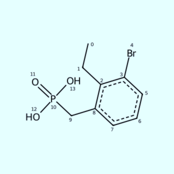 CCc1c(Br)cccc1CP(=O)(O)O